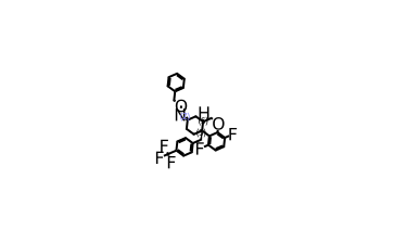 Fc1ccc(F)c2c1OC[C@H]1C/C(=N\OCc3ccccc3)CC[C@@]21Cc1ccc(C(F)(F)F)cc1